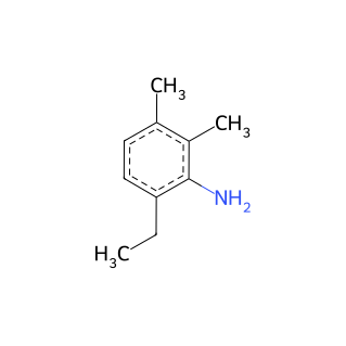 CCc1ccc(C)c(C)c1N